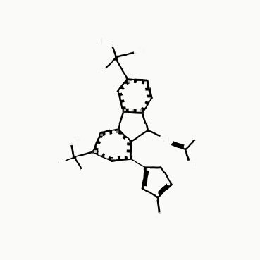 CC1=CCC(c2cc(C(C)(C)C)cc3c2[CH]([Zr]=[C](C)C)c2ccc(C(C)(C)C)cc2-3)=C1